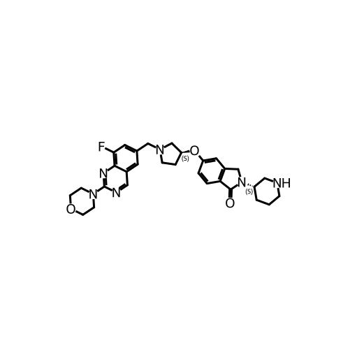 O=C1c2ccc(O[C@H]3CCN(Cc4cc(F)c5nc(N6CCOCC6)ncc5c4)C3)cc2CN1[C@H]1CCCNC1